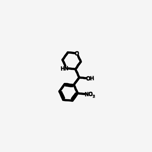 O=[N+]([O-])c1ccccc1C(O)C1COCCN1